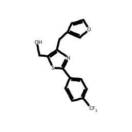 OCc1sc(-c2ccc(C(F)(F)F)cc2)nc1Cc1ccoc1